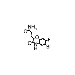 NC(=O)CCC1Oc2cc(F)c(Br)cc2NC1=O